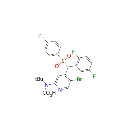 CC(C)(C)N(C(=O)O)c1cc(C(c2cc(F)ccc2F)S(=O)(=O)c2ccc(Cl)cc2)c(Br)cn1